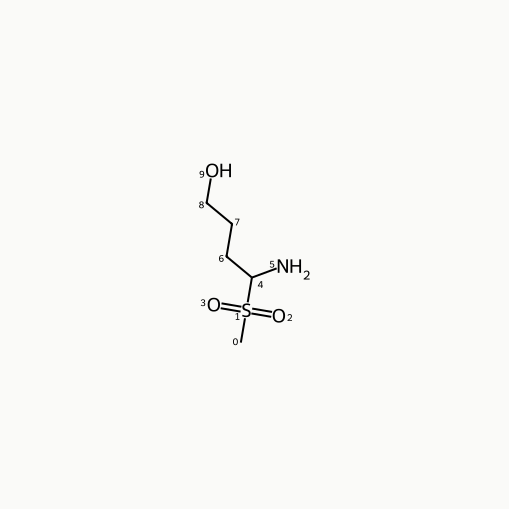 CS(=O)(=O)C(N)CCCO